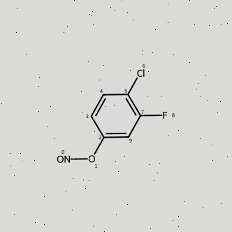 O=NOc1ccc(Cl)c(F)c1